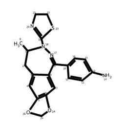 CC1Cc2cc3c(cc2C(c2ccc(N)cc2)=NN1C1=NCCS1)OCO3